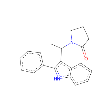 CC(c1c(-c2ccccc2)[nH]c2ccccc12)N1CCCC1=O